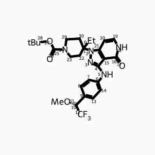 CCC1(n2nc(Nc3ccc([C@@H](OC)C(F)(F)F)cc3)c3c(=O)[nH]ccc32)CCN(C(=O)OC(C)(C)C)CC1